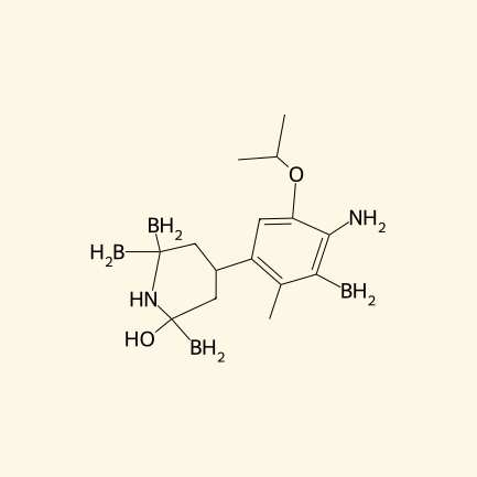 Bc1c(C)c(C2CC(B)(B)NC(B)(O)C2)cc(OC(C)C)c1N